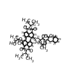 CCC(CC)N1C(=O)c2ccc3c4c(SCC(NC(C)=O)C(=O)NC(Cc5ccccc5)C(=O)O)cc5c6c(ccc(c7c(OC(C)(C)CO)cc(c2c37)C1=O)c64)C(=O)N(C(CC)CC)C5=O